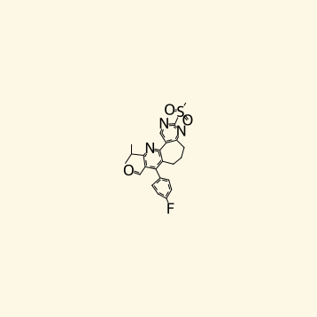 CC(C)c1nc2c(c(-c3ccc(F)cc3)c1C=O)CCCc1nc(S(C)(=O)=O)ncc1-2